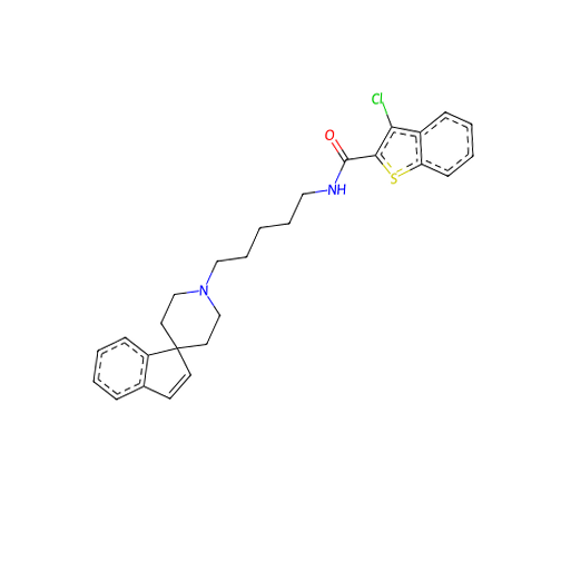 O=C(NCCCCCN1CCC2(C=Cc3ccccc32)CC1)c1sc2ccccc2c1Cl